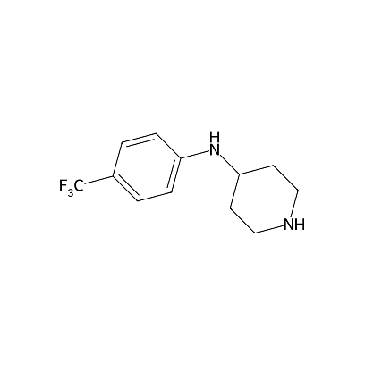 FC(F)(F)c1ccc(NC2CCNCC2)cc1